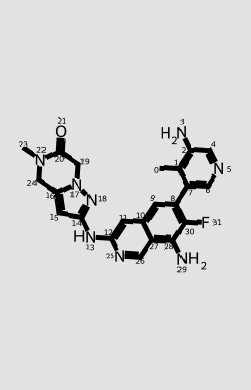 Cc1c(N)cncc1-c1cc2cc(Nc3cc4n(n3)CC(=O)N(C)C4)ncc2c(N)c1F